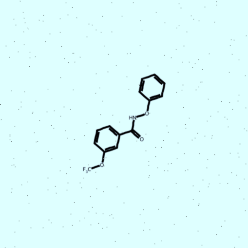 O=C(NOc1ccccc1)c1cccc(OC(F)(F)F)c1